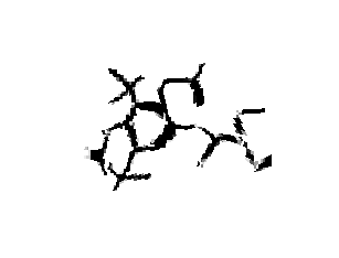 C=C(C)Cc1c(OC(=O)N(SC)SC)cc(C(C)(C)C)c(OC(C)=O)c1C(C)(C)C